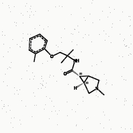 Cc1ccccc1OCC(C)(C)NC(=O)[C@@H]1C2CN(C)C[C@H]21